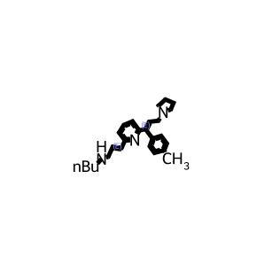 CCCCNC/C=C/c1cccc(/C(=C/CN2CCCC2)c2ccc(C)cc2)n1